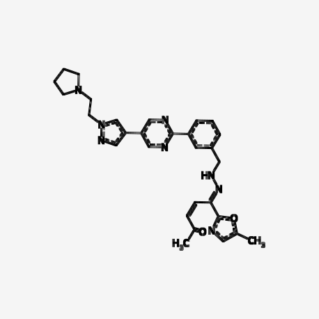 CC(=O)/C=C\C(=N/NCc1cccc(-c2ncc(-c3cnn(CCN4CCCC4)c3)cn2)c1)c1ncc(C)o1